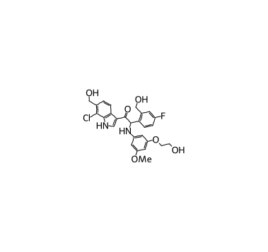 COc1cc(NC(C(=O)c2c[nH]c3c(Cl)c(CO)ccc23)c2ccc(F)cc2CO)cc(OCCO)c1